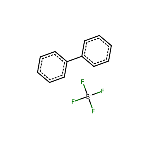 F[B-](F)(F)F.c1ccc(-c2ccccc2)cc1